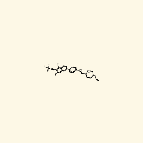 C=CCC1CCC(COc2ccc(-c3ccc4c(F)c(C#CC(F)(F)F)c(F)cc4c3)cc2)OC1